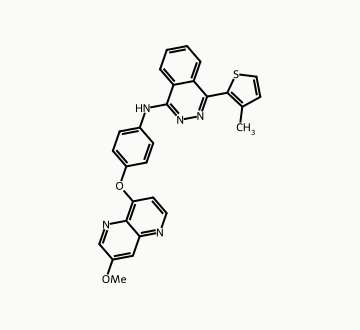 COc1cnc2c(Oc3ccc(Nc4nnc(-c5sccc5C)c5ccccc45)cc3)ccnc2c1